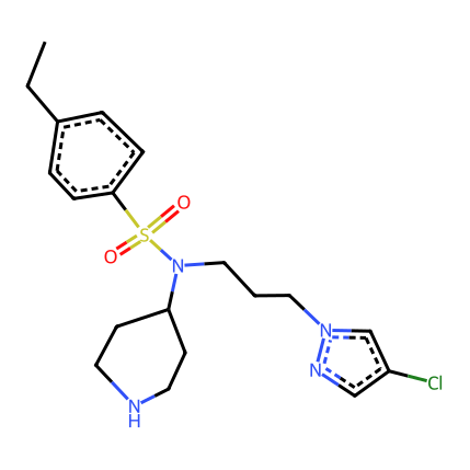 CCc1ccc(S(=O)(=O)N(CCCn2cc(Cl)cn2)C2CCNCC2)cc1